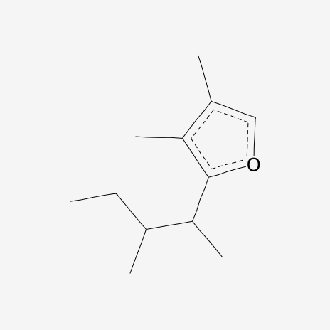 CCC(C)C(C)c1occ(C)c1C